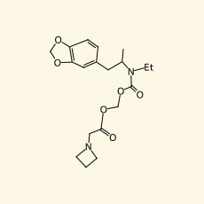 CCN(C(=O)OCOC(=O)CN1CCC1)C(C)Cc1ccc2c(c1)OCO2